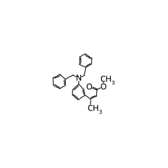 COC(=O)/C=C(/C)c1cccc(N(Cc2ccccc2)Cc2ccccc2)c1